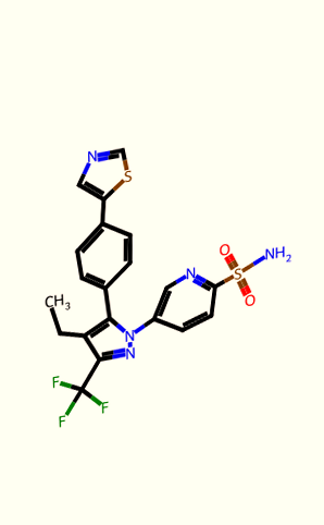 CCc1c(C(F)(F)F)nn(-c2ccc(S(N)(=O)=O)nc2)c1-c1ccc(-c2cncs2)cc1